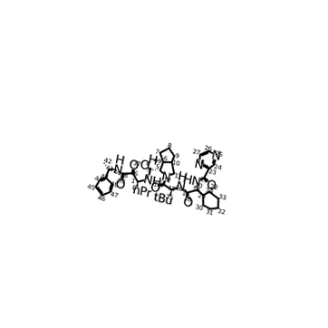 CCC[C@H](NC(=O)[C@@H]1[C@H]2CCCC2CN1C(=O)[C@@H](NC(=O)[C@@H](NC(=O)c1cnccn1)C1CCCCC1)C(C)(C)C)C(=O)C(=O)N[C@@H](C)c1ccccc1